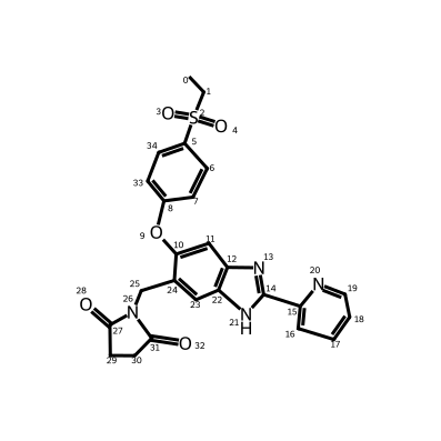 CCS(=O)(=O)c1ccc(Oc2cc3nc(-c4ccccn4)[nH]c3cc2CN2C(=O)CCC2=O)cc1